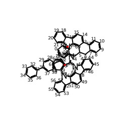 c1ccc(CC2Cc3ccccc3-c3ccc4c5ccccc5n(-c5nc(-c6ccc(-c7ccccc7)cc6)cc(-n6c7ccccc7c7ccc8c9ccccc9n(-c9ccccc9)c8c76)n5)c4c32)cc1